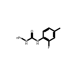 CCCNC(=O)Nc1ccc(C)cc1F